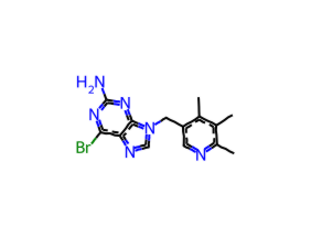 Cc1ncc(Cn2cnc3c(Br)nc(N)nc32)c(C)c1C